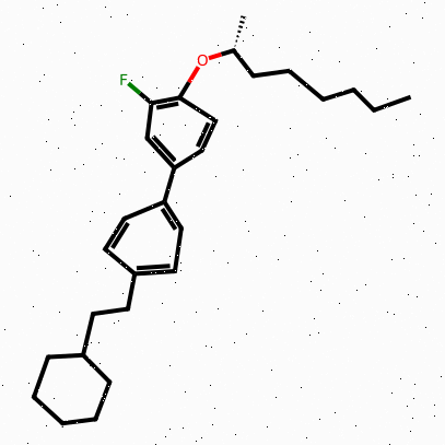 CCCCCC[C@@H](C)Oc1ccc(-c2ccc(CCC3CC[CH]CC3)cc2)cc1F